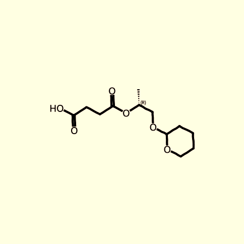 C[C@H](COC1CCCCO1)OC(=O)CCC(=O)O